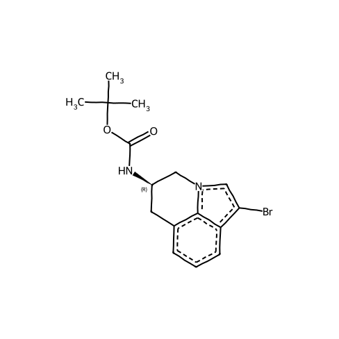 CC(C)(C)OC(=O)N[C@@H]1Cc2cccc3c(Br)cn(c23)C1